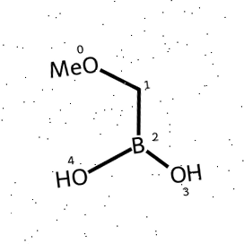 COCB(O)O